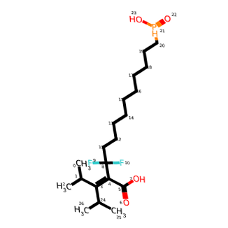 CC(C)C(=C(C(=O)O)C(F)(F)CCCCCCCCCC[PH](=O)O)C(C)C